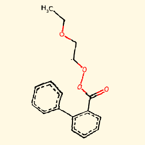 CCOC[CH]OOC(=O)c1ccccc1-c1ccccc1